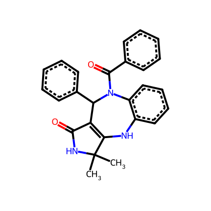 CC1(C)NC(=O)C2=C1Nc1ccccc1N(C(=O)c1ccccc1)C2c1ccccc1